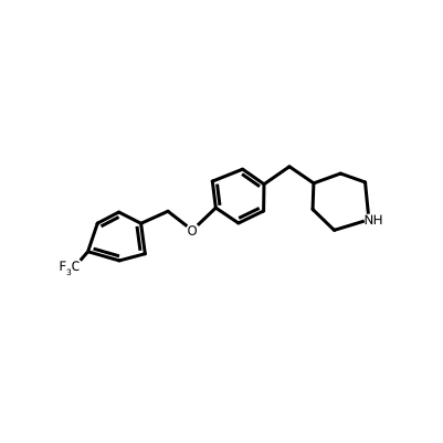 FC(F)(F)c1ccc(COc2ccc(CC3CCNCC3)cc2)cc1